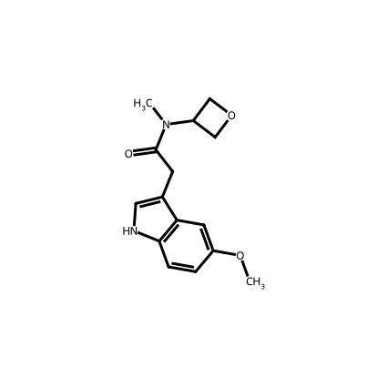 COc1ccc2[nH]cc(CC(=O)N(C)C3COC3)c2c1